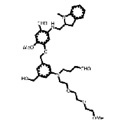 COCCOCCOCCN(CCCC=O)c1cc(CO)cc(COc2cc(NCC3Cc4ccccc4N3C)c(C=O)cc2OC)c1